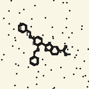 COC(=O)c1ccc2oc(-c3ccc(OCc4ccccc4)nc3OCc3ccccc3)nc2c1